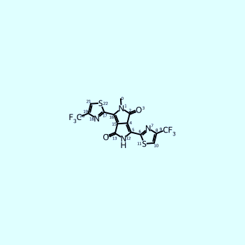 CN1C(=O)C2=C(c3nc(C(F)(F)F)cs3)NC(=O)C2=C1c1nc(C(F)(F)F)cs1